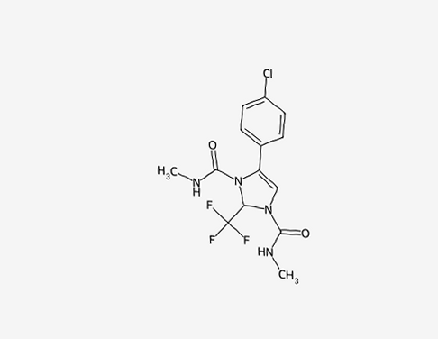 CNC(=O)N1C=C(c2ccc(Cl)cc2)N(C(=O)NC)C1C(F)(F)F